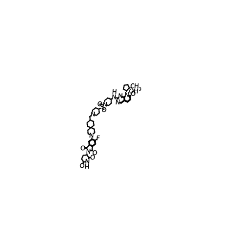 C[C@@]1(O)CCC[C@H]1n1c(=O)ccc2cnc(NC3CCN(S(=O)(=O)C4CCN(CC5CCC6(CC5)CCN(c5cc7c(cc5F)C(=O)N(C5CCC(=O)NC5=O)C7=O)CC6)CC4)CC3)nc21